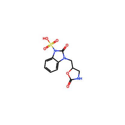 O=C1NCC(Cn2c(=O)n(S(=O)(=O)O)c3ccccc32)O1